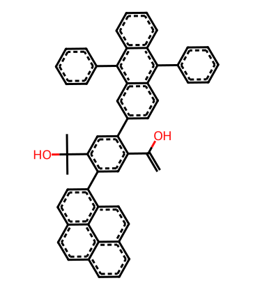 C=C(O)c1cc(-c2ccc3ccc4cccc5ccc2c3c45)c(C(C)(C)O)cc1-c1ccc2c(-c3ccccc3)c3ccccc3c(-c3ccccc3)c2c1